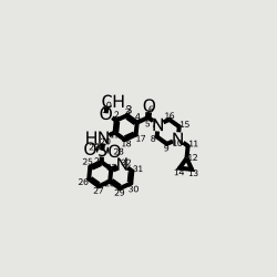 COc1cc(C(=O)N2CCN(CC3CC3)CC2)ccc1NS(=O)(=O)c1cccc2cccnc12